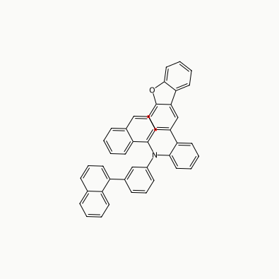 c1cc(-c2cccc3ccccc23)cc(N(c2ccccc2-c2ccc3oc4ccccc4c3c2)c2cccc3ccccc23)c1